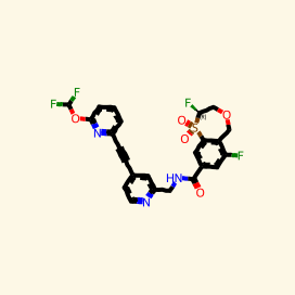 O=C(NCc1cc(C#Cc2cccc(OC(F)F)n2)ccn1)c1cc(F)c2c(c1)S(=O)(=O)[C@@H](F)COC2